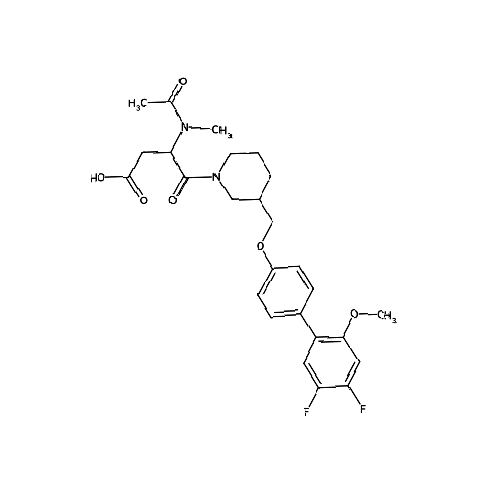 COc1cc(F)c(F)cc1-c1ccc(OCC2CCCN(C(=O)C(CC(=O)O)N(C)C(C)=O)C2)cc1